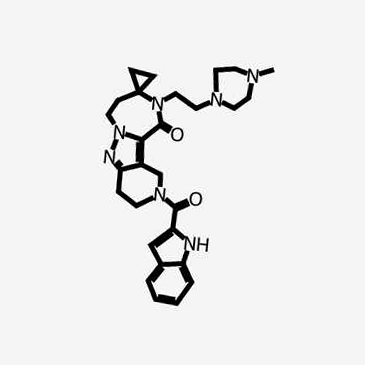 CN1CCN(CCN2C(=O)c3c4c(nn3CCC23CC3)CCN(C(=O)c2cc3ccccc3[nH]2)C4)CC1